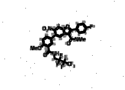 CNC(=O)c1c(-c2ccc(F)cc2)oc2cc([N+](=O)[O-])c(-c3ccc(OC)c(C(=O)NCC(F)(F)C(F)(F)C(F)(F)F)c3)cc12